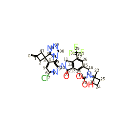 C=C1CC(c2cc(Cl)nc(N3Cc4c(cc(CN(C(=O)O)C5(C)CCC5)cc4C(F)(F)F)C3=O)c2)(c2nncn2C)C1